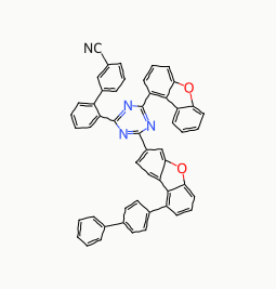 N#Cc1cccc(-c2ccccc2-c2nc(-c3ccc4c(c3)oc3cccc(-c5ccc(-c6ccccc6)cc5)c34)nc(-c3cccc4oc5ccccc5c34)n2)c1